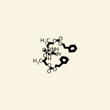 CC(COC(=O)OCCc1ccccc1)COP(=O)(NC(=N)C(C)C)OCC(C)COC(=O)OCCc1ccccc1